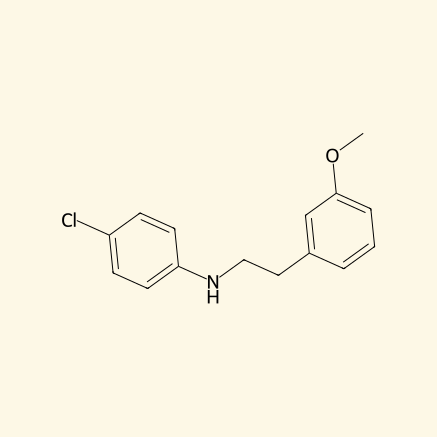 COc1cccc(CCNc2ccc(Cl)cc2)c1